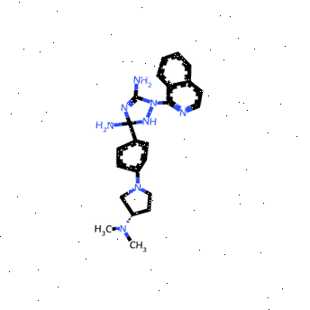 CN(C)[C@H]1CCN(c2ccc(C3(N)N=C(N)N(c4nccc5ccccc45)N3)cc2)C1